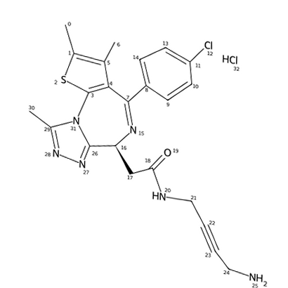 Cc1sc2c(c1C)C(c1ccc(Cl)cc1)=N[C@@H](CC(=O)NCC#CCN)c1nnc(C)n1-2.Cl